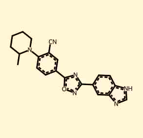 CC1CCCCN1c1ccc(-c2nc(-c3ccc4[nH]cnc4c3)no2)cc1C#N